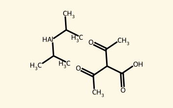 CC(=O)C(C(C)=O)C(=O)O.C[CH](C)[AlH][CH](C)C